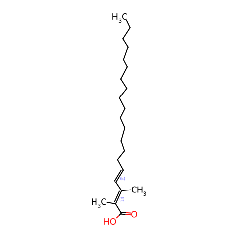 CCCCCCCCCCCCCCC/C=C/C(C)=C(\C)C(=O)O